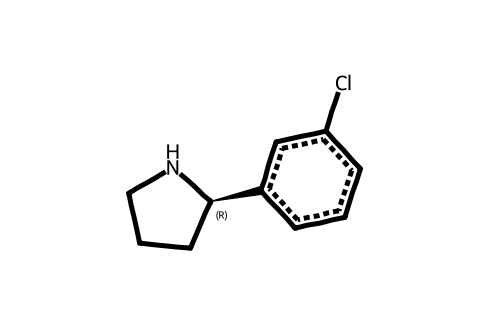 Clc1cccc([C@H]2CCCN2)c1